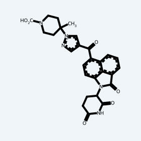 CC1(n2cc(C(=O)c3ccc4c5c(cccc35)C(=O)N4C3CCC(=O)NC3=O)cn2)CCN(C(=O)O)CC1